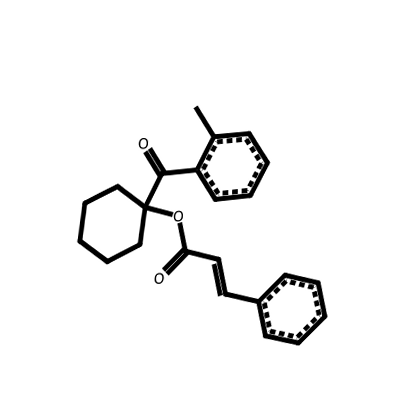 Cc1ccccc1C(=O)C1(OC(=O)C=Cc2ccccc2)CCCCC1